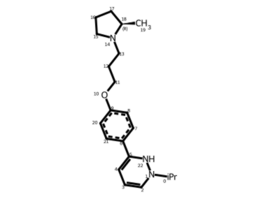 CC(C)N1C=CC=C(c2ccc(OCCCN3CCC[C@H]3C)cc2)N1